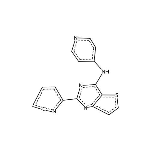 c1ccc(-c2nc(Nc3ccncc3)c3sccc3n2)nc1